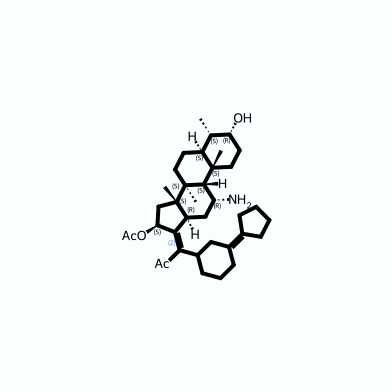 CC(=O)O[C@H]1C[C@@]2(C)[C@@H](C[C@@H](N)[C@H]3[C@@]4(C)CC[C@@H](O)[C@@H](C)[C@@H]4CC[C@@]32C)/C1=C(/C(C)=O)C1CCCC(=C2CCCC2)C1